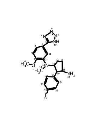 COc1ccc(-c2nnn[nH]2)cc1N(C)C1CCC(N)C1c1ccc(F)cc1